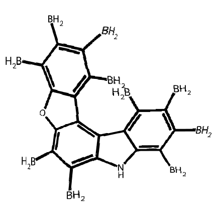 Bc1c(B)c(B)c2c([nH]c3c(B)c(B)c4oc5c(B)c(B)c(B)c(B)c5c4c32)c1B